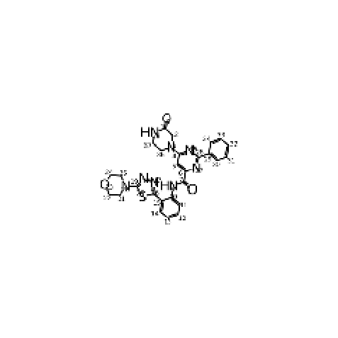 O=C1CN(c2cc(C(=O)Nc3ccccc3-c3nnc(N4CCOCC4)s3)nc(-c3ccccc3)n2)CCN1